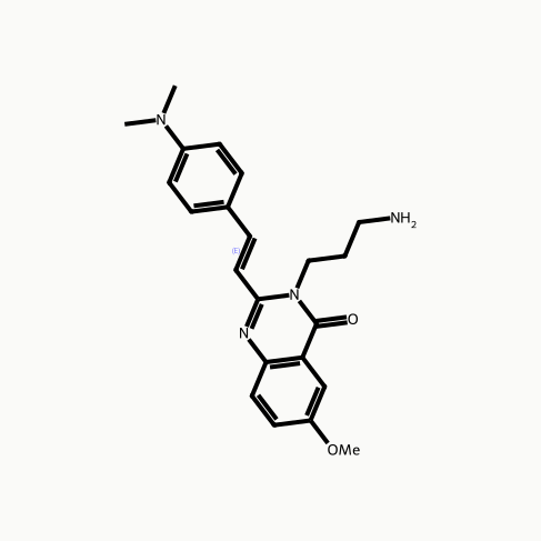 COc1ccc2nc(/C=C/c3ccc(N(C)C)cc3)n(CCCN)c(=O)c2c1